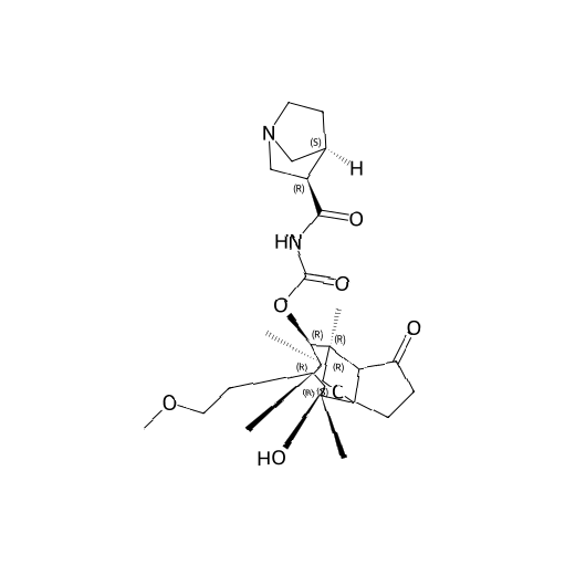 COCC[C@]1(C)C[C@@H](OC(=O)NC(=O)[C@H]2CN3CC[C@@H]2C3)[C@@]2(C)C3C(=O)CCC3(CC[C@H]2C)[C@@H](C)[C@@H]1O